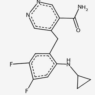 NC(=O)c1cnncc1Cc1cc(F)c(F)cc1NC1CC1